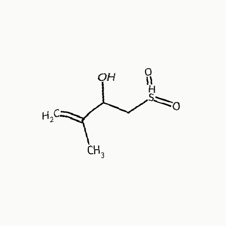 C=C(C)C(O)C[SH](=O)=O